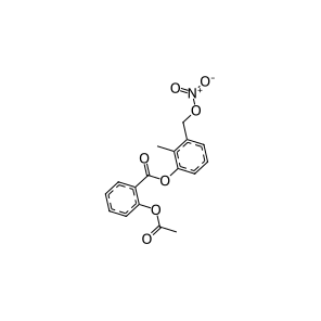 CC(=O)Oc1ccccc1C(=O)Oc1cccc(CO[N+](=O)[O-])c1C